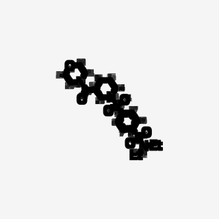 CCN(CC)S(=O)(=O)c1ccc(S(=O)(=O)N2CCCC(C(=O)N3CCOCC3)C2)cc1